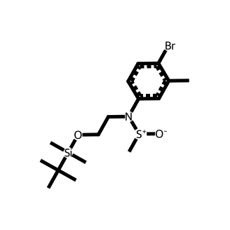 Cc1cc(N(CCO[Si](C)(C)C(C)(C)C)[S+](C)[O-])ccc1Br